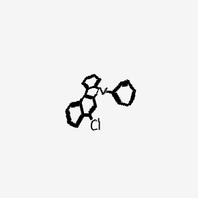 Clc1cc2c(c3ccccc13)c1ccccc1n2-c1ccccc1